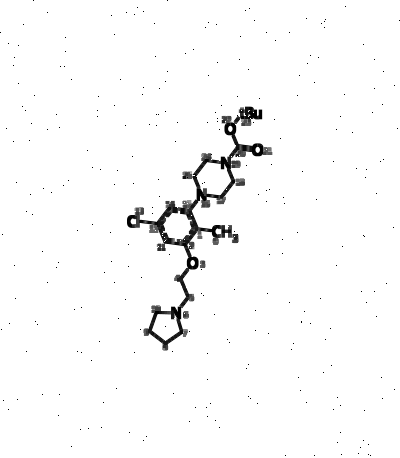 Cc1c(OCCN2CCCC2)cc(Cl)cc1N1CCN(C(=O)OC(C)(C)C)CC1